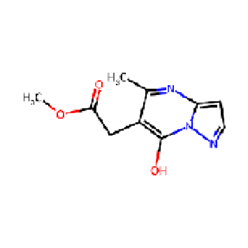 COC(=O)Cc1c(C)nc2ccnn2c1O